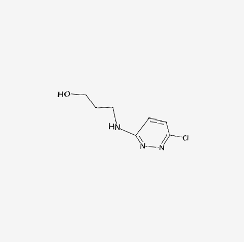 OCCCNc1ccc(Cl)nn1